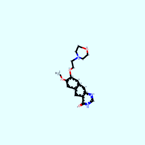 COc1cc2cc3c(=O)[nH]cnc3cc2cc1OCCN1CCOCC1